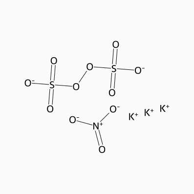 O=S(=O)([O-])OOS(=O)(=O)[O-].O=[N+]([O-])[O-].[K+].[K+].[K+]